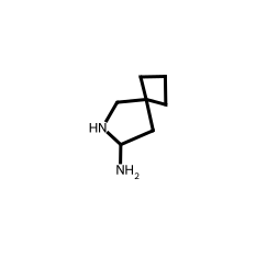 NC1CC2(CCC2)CN1